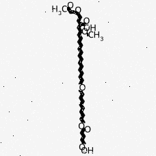 CCOC(CCCCCCCCCCCCCCCOCCCCCCCCCCOC(=O)CCCCOO)CC(CCC1OC1CC(C)=O)C(=O)O